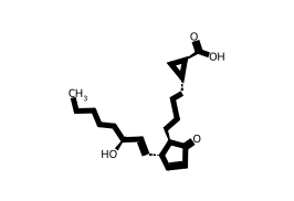 CCCCC[C@H](O)/C=C/[C@H]1C=CC(=O)[C@@H]1CCCC[C@@H]1C[C@H]1C(=O)O